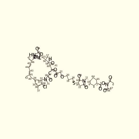 CC(=O)N(OC(=O)[C@H]1CC[C@H](CN2C(=O)CC(SCCCOCC(=O)O[C@H]3CC(=O)N(C)c4cc(cc(C)c4Cl)C/C(C)=C/C=C/[C@@H](C)[C@@]4(O)CC(OC(=O)N4)[C@@H](C)[C@@H]4O[C@@]34C)C2=O)CC1)C(C)=O